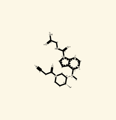 C[C@@H]1CCN(C(=O)CC#N)C[C@@H]1N(C)c1ncnc2c1ccn2C(=O)NCC(=O)O